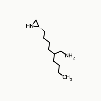 CCCCC(CN)CCCC[C@H]1CN1